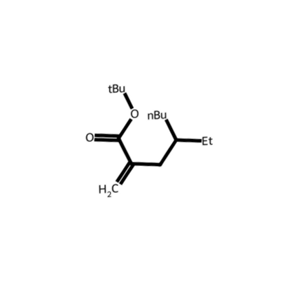 C=C(CC(CC)CCCC)C(=O)OC(C)(C)C